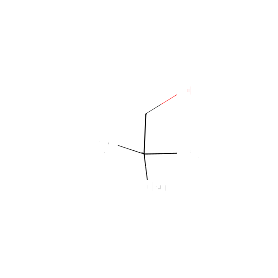 CCOC(=O)C(CO)(C(C)(C)C)C(C)(C)C